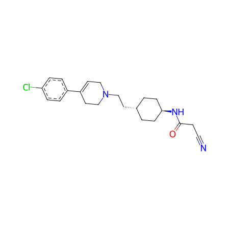 N#CCC(=O)N[C@H]1CC[C@H](CCN2CC=C(c3ccc(Cl)cc3)CC2)CC1